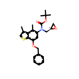 Cc1csc2c(OCc3ccccc3)cc(N(C[C@H]3CO3)C(=O)OC(C)(C)C)c(C)c12